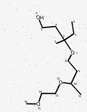 CCC(C)(CCO)OCCC(C)OCCOC